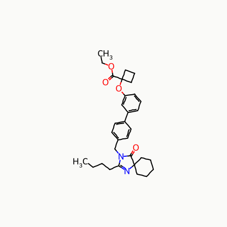 CCCCC1=NC2(CCCCC2)C(=O)N1Cc1ccc(-c2cccc(OC3(C(=O)OCC)CCC3)c2)cc1